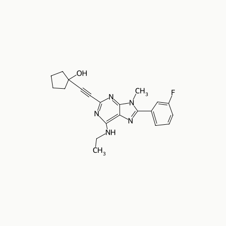 CCNc1nc(C#CC2(O)CCCC2)nc2c1nc(-c1cccc(F)c1)n2C